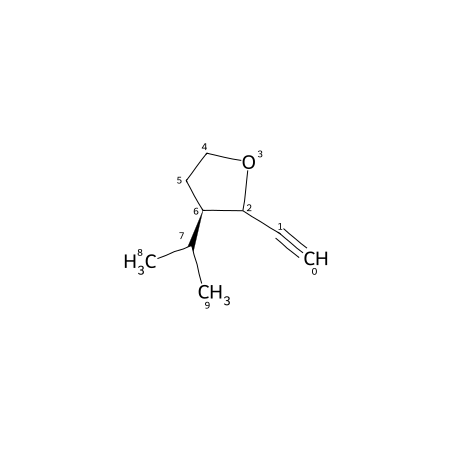 C#CC1OCC[C@@H]1C(C)C